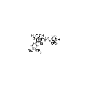 CC1(C)C(=O)N(c2ccc(C#N)c(C(F)(F)F)c2)C(=O)N1CC=CCN1CCNS1(=O)=O